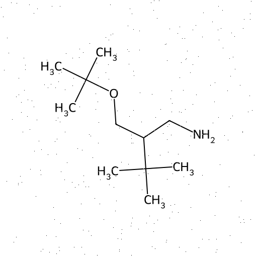 CC(C)(C)OCC(CN)C(C)(C)C